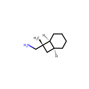 C[C@]1(CN)C[C@@H]2CCCC[C@@H]21